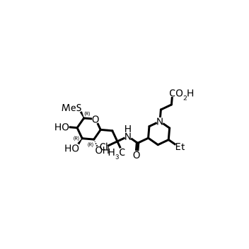 CCC1CC(C(=O)NC(C)(Cl)CC2O[C@H](SC)C(O)[C@H](O)[C@H]2O)CN(CCC(=O)O)C1